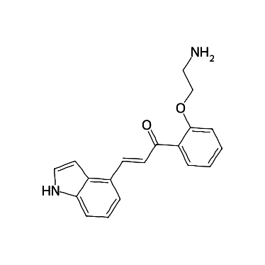 NCCOc1ccccc1C(=O)C=Cc1cccc2[nH]ccc12